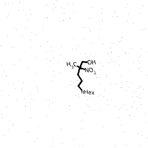 CCCCCCCCCC(C)(CO)[N+](=O)[O-]